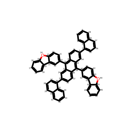 c1ccc2c(-c3ccc4c(-c5ccc6oc7ccccc7c6c5)c5cc(-c6cccc7ccccc67)ccc5c(-c5ccc6oc7ccccc7c6c5)c4c3)cccc2c1